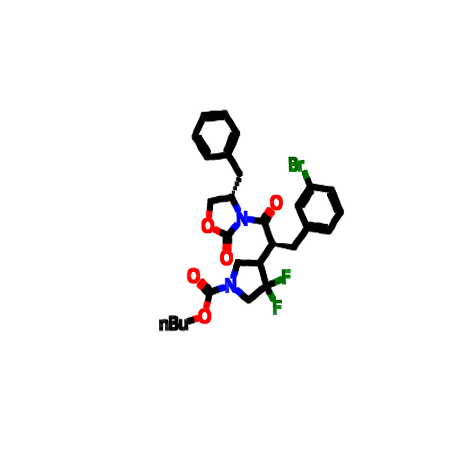 CCCCOC(=O)N1CC([C@H](Cc2cccc(Br)c2)C(=O)N2C(=O)OC[C@@H]2Cc2ccccc2)C(F)(F)C1